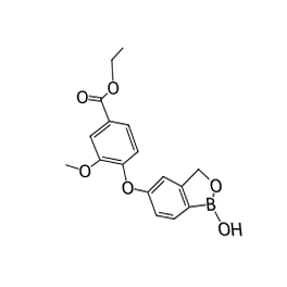 CCOC(=O)c1ccc(Oc2ccc3c(c2)COB3O)c(OC)c1